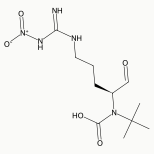 CC(C)(C)N(C(=O)O)[C@H](C=O)CCCNC(=N)N[N+](=O)[O-]